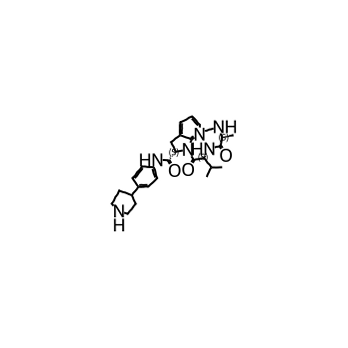 CN[C@@H](C)C(=O)N[C@H](C(=O)N1c2ncccc2C[C@H]1C(=O)Nc1ccc(C2CCNCC2)cc1)C(C)C